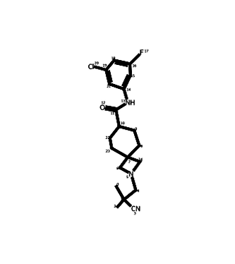 CC(C)(C#N)CN1CC2(CCC(C(=O)Nc3cc(F)cc(Cl)c3)CC2)C1